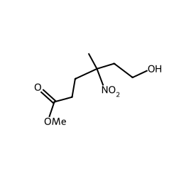 COC(=O)CCC(C)(CCO)[N+](=O)[O-]